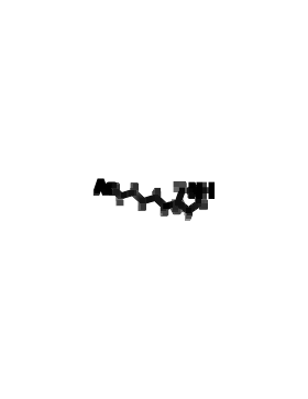 CC(=O)CCCCC[C@@H]1CCNC1